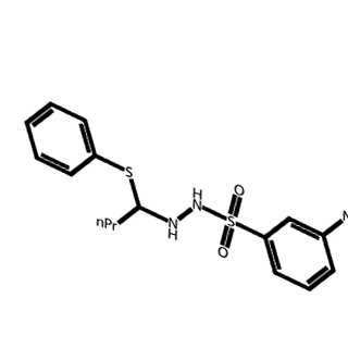 CCCC(NNS(=O)(=O)c1cccc([N+](=O)[O-])c1)Sc1ccccc1